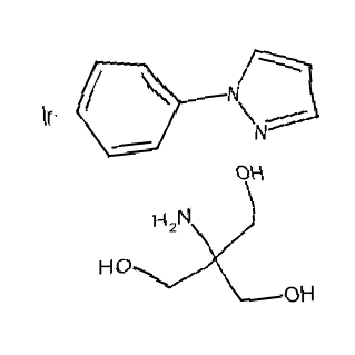 NC(CO)(CO)CO.[Ir].c1ccc(-n2cccn2)cc1